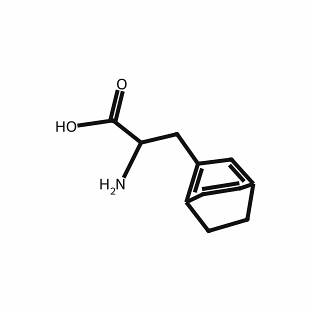 NC(Cc1cc2ccc1CC2)C(=O)O